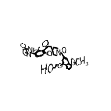 COc1cccc2c(OCCO)cc(C(=O)N3CCC4(CC3)CC(=O)c3cc(-c5noc(=O)[nH]5)ccc3O4)cc12